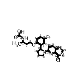 CC(CCOc1ccc(F)cc1C1CCCN1c1ccc2ncnc(Cl)c2n1)NC(=O)O